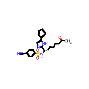 CC(=O)CCCCC[C@H](NS(=O)(=O)c1ccc(C#N)cc1)c1ncc(-c2ccccc2)[nH]1